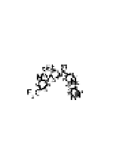 CCSc1nc2cc(C(F)(F)F)ccc2n1C1CCN(C(=O)C2CCN(Cc3ccnnc3)CC2)CC1